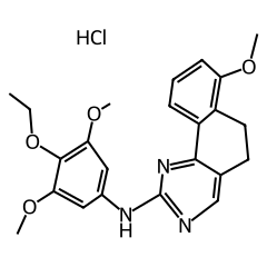 CCOc1c(OC)cc(Nc2ncc3c(n2)-c2cccc(OC)c2CC3)cc1OC.Cl